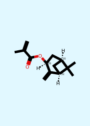 C=C(C)C(=O)O[C@H]1C[C@@H]2C[C@H](C1=C)C2(C)C